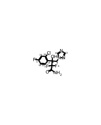 NC(=O)C(F)(F)C(O)(Cn1cncn1)c1ccc(F)cc1Cl